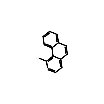 Clc1nccc2ccc3ccccc3c12